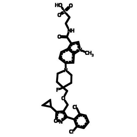 Cn1cc(C(=O)NCCS(=O)(=O)O)c2ccc(N3CCC(F)(COCc4c(-c5c(Cl)cccc5Cl)noc4C4CC4)CC3)cc21